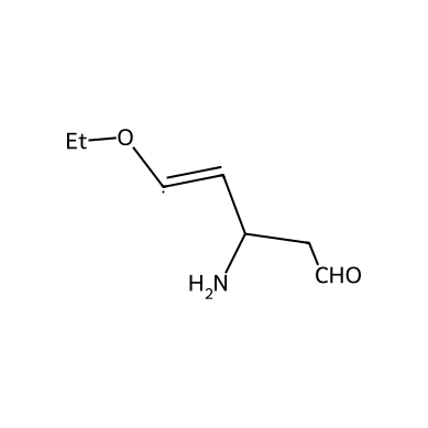 CCO[C]=CC(N)CC=O